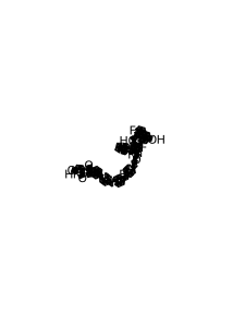 C#Cc1c(F)ccc2cc(O)cc(-c3ncc4c(N5CC6CCC(C5)N6)nc(OCCN5CCC(F)(CC6CCN(CC7CCN(c8ccc9c(c8)CN(C8CCC(=O)NC8=O)C9=O)CC7)CC6)CC5)nc4c3F)c12